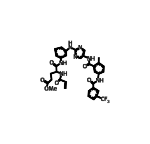 C=CC(=O)NC(CCC(=O)OC)C(=O)Nc1cccc(Nc2ncc(NC(=O)c3cc(NC(=O)c4cccc(C(F)(F)F)c4)ccc3C)cn2)c1